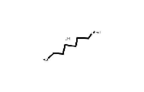 CCCCCCCCCCCO.[LiH]